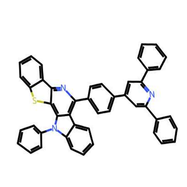 c1ccc(-c2cc(-c3ccc(-c4nc5c6ccccc6sc5c5c4c4ccccc4n5-c4ccccc4)cc3)cc(-c3ccccc3)n2)cc1